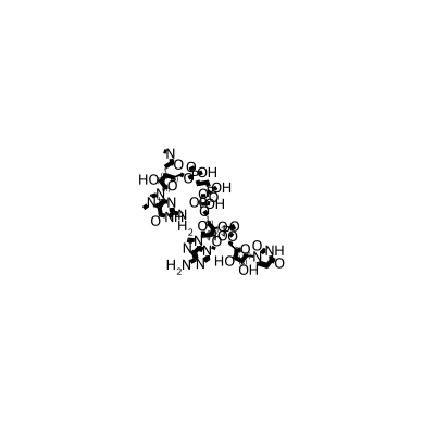 CO[C@@H]1[C@H](OP(=O)(O)OC[C@H]2O[C@@H](n3ccc(=O)[nH]c3=O)[C@H](O)[C@@H]2O)[C@@H](COP(=O)(O)OP(=O)(O)CCP(=O)(O)OC[C@H]2O[C@@H](n3c[n+](C)c4c(=O)[nH]c(N)nc43)[C@H](O)[C@@H]2CC(=O)N(C)C)O[C@H]1n1cnc2c(N)ncnc21